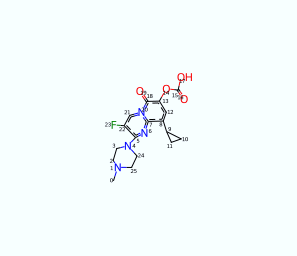 CN1CCN(c2nc3c(C4CC4)cc(OC(=O)O)c(=O)n3cc2F)CC1